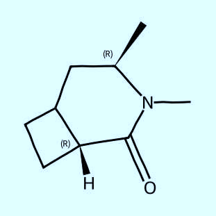 C[C@@H]1CC2CC[C@H]2C(=O)N1C